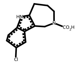 O=C(O)N1CCCc2[nH]c3ccc(Cl)cc3c2C1